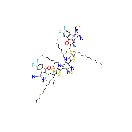 [C-]#[N+]/C(C#N)=C1/C(=C/C=C/c2sc3c(sc4c5c6nsnc6c6c7sc8c(CCCCCCCCCCC)c(CC9C(=O)c%10cc(F)c(F)cc%10/C9=C(\C#N)[N+]#[C-])sc8c7n(CC(CCCCCC)CCCCCCCC)c6c5n(CC(CCCCCC)CCCCCCCC)c34)c2CCCCCCCCCCC)C(=O)c2cc(F)c(F)cc21